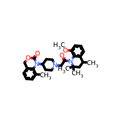 COc1cccc2c1N(C(=O)CN1CCC(N3C(=O)OCc4cccc(C)c43)CC1)C(C)(C)CC2C